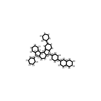 C1CCC(C2CCC3C(C2)C2C4C5CCCCC5N(C5CCCCC5)C4CCC2N3C2CCC(C3CCC4CCCCC4C3)CC2)CC1